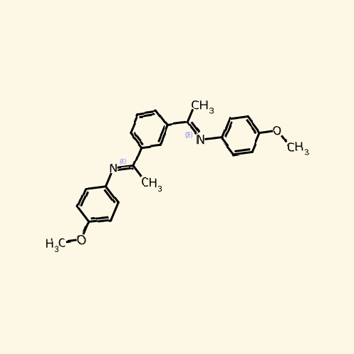 COc1ccc(/N=C(\C)c2cccc(/C(C)=N/c3ccc(OC)cc3)c2)cc1